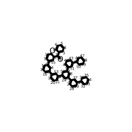 O=C1c2ccccc2OC2C=CC(c3cccc(-c4cccc(-c5cc(-c6cccc(-c7ccccc7)c6)cc(-c6cccc(-c7ccccc7)c6)c5)c4)c3)=CC12